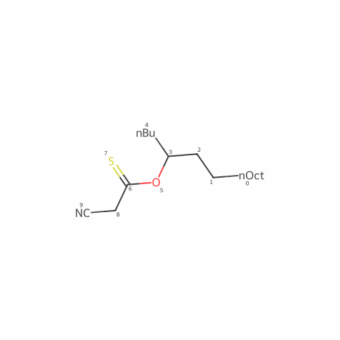 CCCCCCCCCCC(CCCC)OC(=S)CC#N